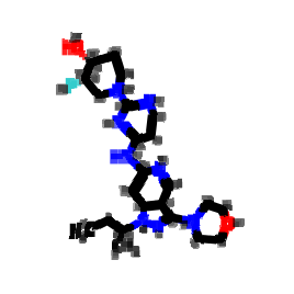 CC[C@@H](C)n1nc(N2CCOCC2)c2cnc(Nc3ccnc(N4CC[C@@H](O)[C@@H](F)C4)n3)cc21